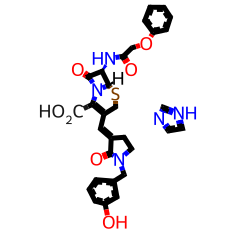 O=C(COc1ccccc1)N[C@@H]1C(=O)N2C(C(=O)O)=C(/C=C3\CCN(Cc4cccc(O)c4)C3=O)CS[C@H]12.c1c[nH]cn1